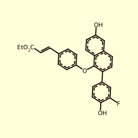 CCOC(=O)C=Cc1ccc(Oc2c(-c3ccc(O)c(F)c3)ccc3cc(O)ccc23)cc1